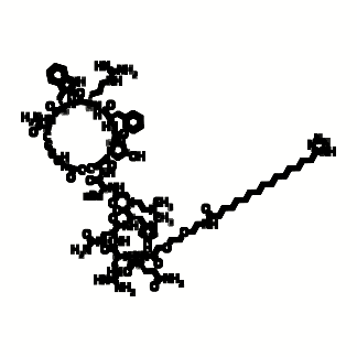 CCCC[C@H](NC(=O)CN(CCN(C)C)C(=O)[C@H](Cc1c[nH]cn1)NC(=O)[C@H](CNC(N)=O)NC(=O)[C@H](CNC(=N)N)NC(=O)[C@H](CCC(N)=O)NC(=O)COCCOCCNC(=O)CCCCCCCCCCCCCCCc1nnn[nH]1)C(=O)N[C@H]1CCC(=O)NCCCC[C@@H](C(N)=O)NC(=O)[C@H](Cc2c[nH]c3ccccc23)NC(=O)[C@H](CCCNC(=N)N)NC(=O)[C@@H](Cc2ccccc2)NC(=O)[C@@H]2C[C@@H](O)CN2C1=O